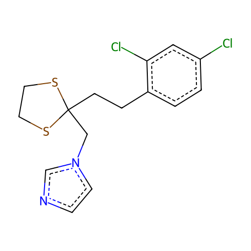 Clc1ccc(CCC2(Cn3ccnc3)SCCS2)c(Cl)c1